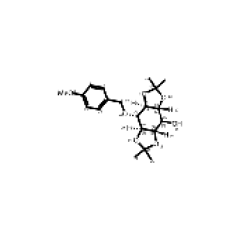 COc1ccc(CO[C@@H]2[C@H]3OC(C)(C)O[C@@H]3[C@@H](O)[C@@H]3OC(C)(C)O[C@@H]23)cc1